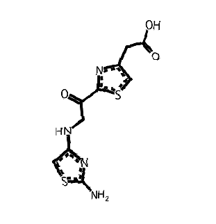 Nc1nc(NCC(=O)c2nc(CC(=O)O)cs2)cs1